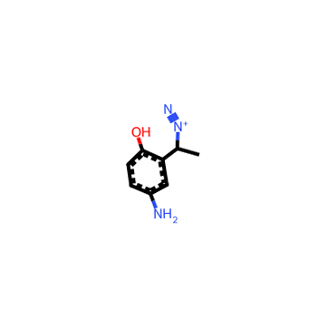 CC([N+]#N)c1cc(N)ccc1O